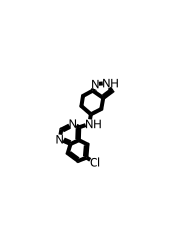 Clc1ccc2ncnc(NC3CCc4n[nH]cc4C3)c2c1